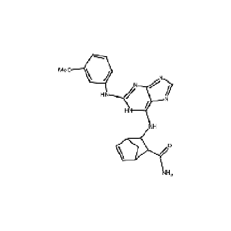 COc1cccc(Nc2nc3ncnc-3c(NC3C4C=CC(C4)C3C(N)=O)[nH]2)c1